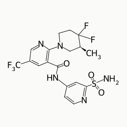 C[C@H]1CN(c2ncc(C(F)(F)F)cc2C(=O)Nc2ccnc(S(N)(=O)=O)c2)CCC1(F)F